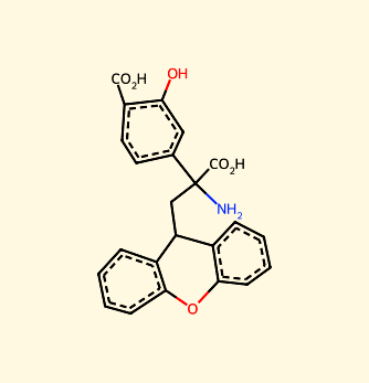 NC(CC1c2ccccc2Oc2ccccc21)(C(=O)O)c1ccc(C(=O)O)c(O)c1